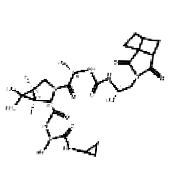 CCCN(NC(=O)[C@@H]1[C@@H]2[C@H](CN1C(=O)[C@@H](NC(=O)N[C@H](CN1C(=O)C3CC4CCC43C1=O)C(C)(C)C)C(C)(C)C)C2(C)C)C(=O)NC1CC1